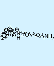 NCCCOCCCCOCCCNC(=O)C(=O)C1CCC(=O)N1Cc1ccccc1